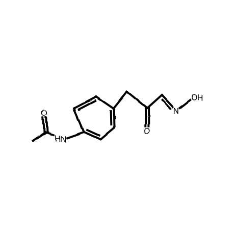 CC(=O)Nc1ccc(CC(=O)C=NO)cc1